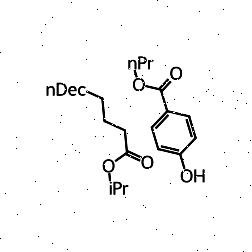 CCCCCCCCCCCCCC(=O)OC(C)C.CCCOC(=O)c1ccc(O)cc1